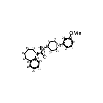 COc1cccc(N2CCC(NC(=O)N3CCCCc4ccccc43)CC2)c1